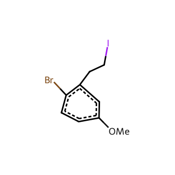 COc1ccc(Br)c(CCI)c1